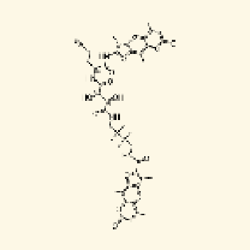 C#CCC[C@H](NC(=O)[C@H](O)[C@@H](O)C(=O)NCC(C)(C)C(C)(C)CNC(=O)c1oc2c(C)c3oc(=O)cc(C)c3cc2c1C)C(=O)Nc1oc2c(C)c3oc(=O)cc(C)c3cc2c1C